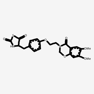 COc1cc2c(cc1OC)C(=O)N(CCOc1ccc(CC3NC(=O)SC3=O)cc1)CO2